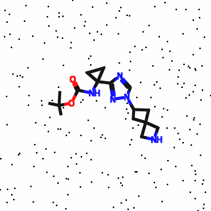 CC(C)(C)OC(=O)NC1(c2ncn(C3CC4(CNC4)C3)n2)CC1